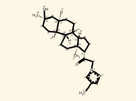 Cc1cnn(CC(=O)[C@H]2CC[C@H]3[C@@H]4CC[C@@H]5C[C@](C)(O)CC[C@@H]5[C@H]4CC[C@]23C)c1